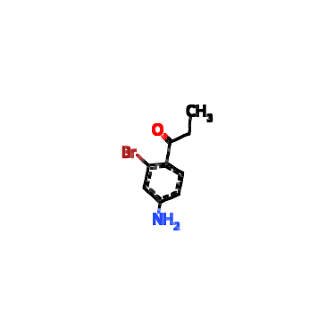 CCC(=O)c1ccc(N)cc1Br